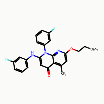 COCCOc1cc(C(F)(F)F)c2c(=O)cc(Nc3cccc(F)c3)n(-c3cccc(F)c3)c2n1